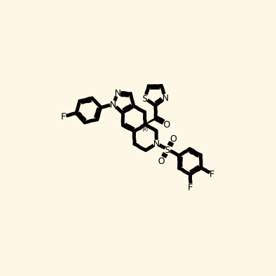 O=C(c1nccs1)[C@]12Cc3cnn(-c4ccc(F)cc4)c3C=C1CCN(S(=O)(=O)c1ccc(F)c(F)c1)C2